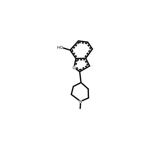 CN1CCC(c2cc3cccc(O)c3o2)CC1